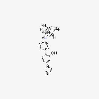 [2H][C@]12C/C(=C\c3ncc(-c4ccc(-n5ccnc5)cc4O)nn3)[C@H](F)[C@]([2H])(C[C@H]1F)N2